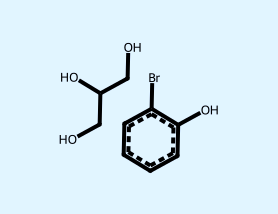 OCC(O)CO.Oc1ccccc1Br